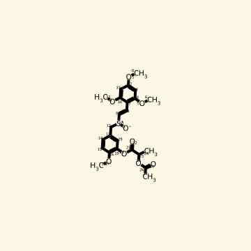 COc1cc(OC)c(C=C[S+]([O-])Cc2ccc(OC)c(OC(=O)C(C)OC(C)=O)c2)c(OC)c1